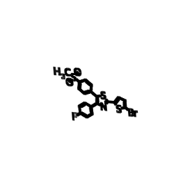 CS(=O)(=O)c1ccc(-c2sc(-c3ccc(Br)s3)nc2-c2ccc(F)cc2)cc1